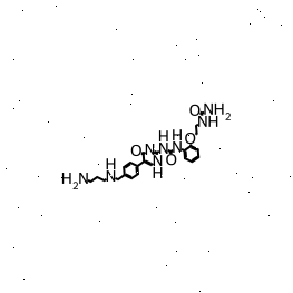 NCCCNCc1ccc(-c2c[nH]c(NC(=O)Nc3ccccc3OCCNC(N)=O)nc2=O)cc1